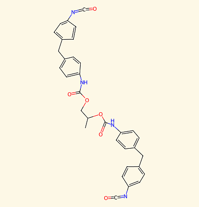 CC(COC(=O)Nc1ccc(Cc2ccc(N=C=O)cc2)cc1)OC(=O)Nc1ccc(Cc2ccc(N=C=O)cc2)cc1